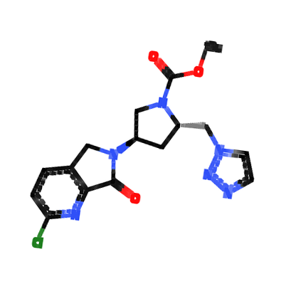 CC(C)(C)OC(=O)N1C[C@H](N2Cc3ccc(Cl)nc3C2=O)C[C@H]1Cn1ccnn1